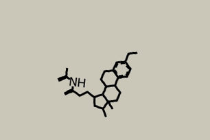 C=C(C)NC(=C)CCC1CC(C)C2(C)CCC3c4ccc(CC)cc4CCC3C12